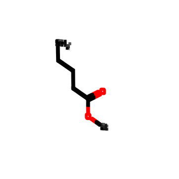 CCOC(=O)CCC[SiH2]